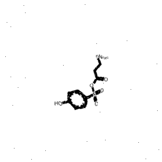 CCCCCCCCCCCC(=O)OS(=O)(=O)c1ccc(O)cc1